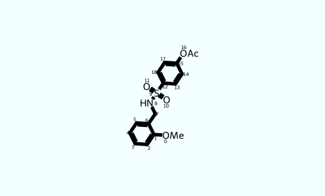 COc1ccccc1CNS(=O)(=O)c1ccc(OC(C)=O)cc1